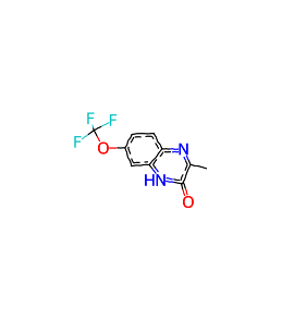 Cc1nc2ccc(OC(F)(F)F)cc2[nH]c1=O